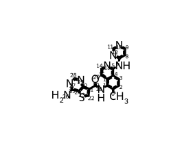 Cc1ccc2c(Nc3ccncn3)nccc2c1NC(=O)c1csc2c(N)ncnc12